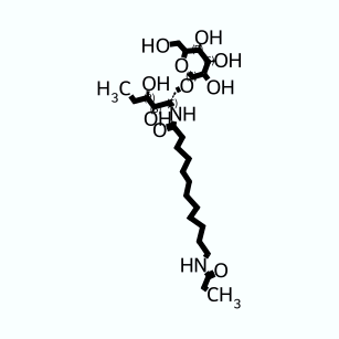 CCC(=O)NCCCCCCCCCCCC(=O)N[C@@H](CO[C@H]1OC(CO)[C@H](O)[C@H](O)C1O)[C@H](O)[C@H](O)CC